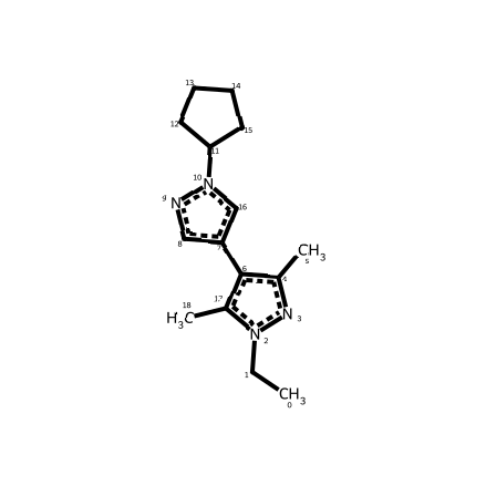 CCn1nc(C)c(-c2cnn(C3CCCC3)c2)c1C